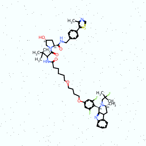 Cc1ncsc1-c1ccc(CNC(=O)[C@@H]2C[C@@H](O)CN2C(=O)C(NC(=O)CCCCCOCCCCOc2cc(F)c([C@@H]3C4=Nc5ccccc5C4C[C@@H](C)N3CC(C)(C)F)c(F)c2)C(C)(C)C)cc1